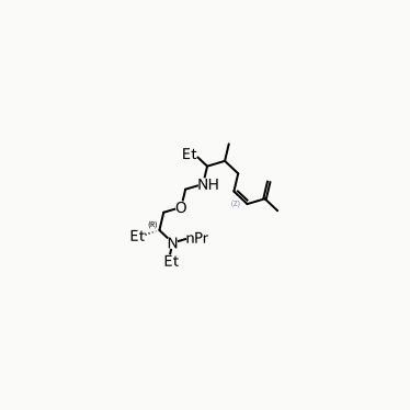 C=C(C)/C=C\CC(C)C(CC)NCOC[C@@H](CC)N(CC)CCC